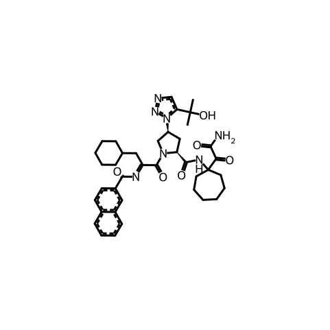 CC(C)(O)c1cnnn1[C@H]1C[C@@H](C(=O)NC2(C(=O)C(N)=O)CCCCCC2)N(C(=O)/C(CC2CCCCC2)=N/C(=O)c2ccc3ccccc3c2)C1